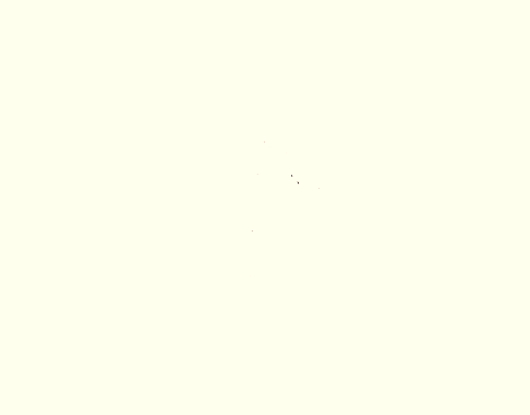 CC(C)(C)N(OS(C)(=O)=O)C1CCC(c2ccccc2)(c2ccccc2)C1